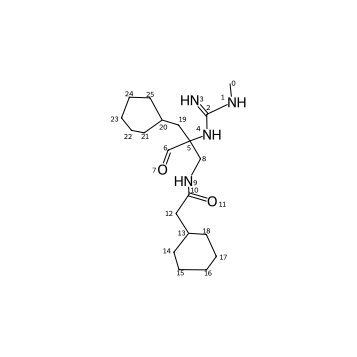 CNC(=N)NC(C=O)(CNC(=O)CC1CCCCC1)CC1CCCCC1